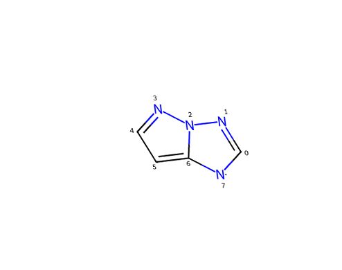 C1=Nn2nccc2[N]1